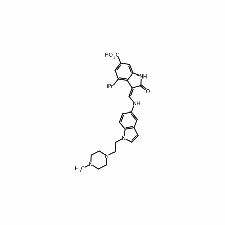 CC(C)c1cc(C(=O)O)cc2c1C(=CNc1ccc3c(ccn3CCN3CCN(C)CC3)c1)C(=O)N2